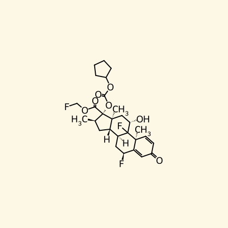 C[C@@H]1C[C@H]2[C@@H]3C[C@H](F)C4=CC(=O)C=C[C@]4(C)C3(F)[C@@H](O)C[C@]2(C)[C@]1(OC(=O)OC1CCCC1)C(=O)OCF